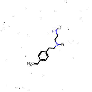 C=Cc1ccc(CCN(CC)CCNCC)cc1